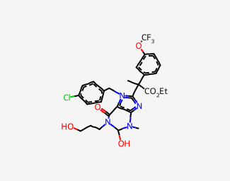 CCOC(=O)C(C)(c1cccc(OC(F)(F)F)c1)c1nc2c(n1Cc1ccc(Cl)cc1)C(=O)N(CCCO)C(O)N2C